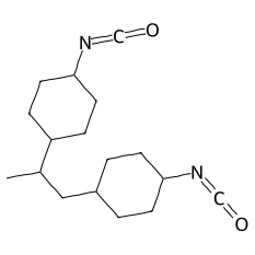 CC(CC1CCC(N=C=O)CC1)C1CCC(N=C=O)CC1